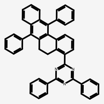 c1ccc(-c2nc(-c3ccccc3)nc(-c3cccc4c3CCc3c-4c(-c4ccccc4)c4ccccc4c3-c3ccccc3)n2)cc1